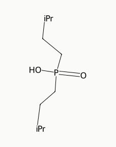 CC(C)CCP(=O)(O)CCC(C)C